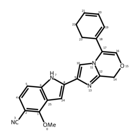 COc1c(C#N)ccc2[nH]c(-c3cn4c(n3)COC=C4C3=CC=CCC3)cc12